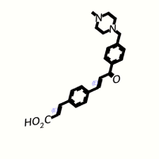 CN1CCN(Cc2ccc(C(=O)/C=C/c3ccc(/C=C/C(=O)O)cc3)cc2)CC1